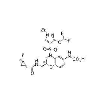 CCn1cc(S(=O)(=O)N2C[C@H](CNC(=O)[C@@H]3C[C@@H]3F)Oc3ccc(NC(=O)O)cc32)c(OC(F)F)n1